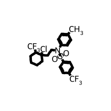 Cc1ccc(N(CCC2(Cl)CCCCC2C(F)(F)F)S(=O)(=O)c2ccc(C(F)(F)F)cc2)cc1